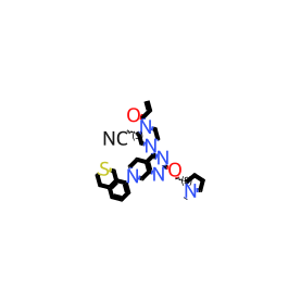 C=CC(=O)N1CCN(c2nc(OC[C@@H]3CCCN3C)nc3c2CCN(c2cccc4c2CSCC4)C3)C[C@@H]1CC#N